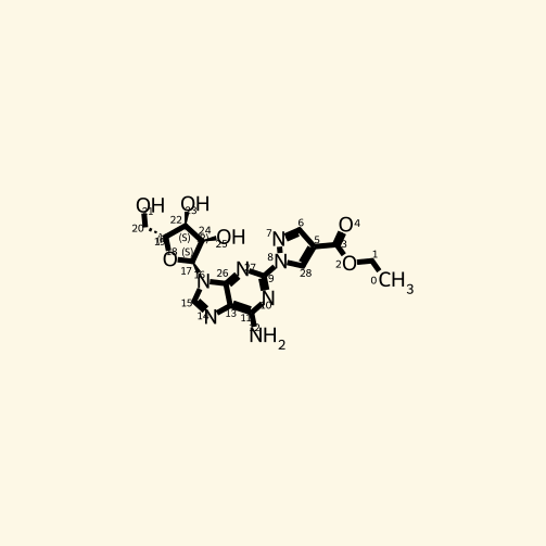 CCOC(=O)c1cnn(-c2nc(N)c3ncn([C@H]4O[C@H](CO)[C@@H](O)[C@H]4O)c3n2)c1